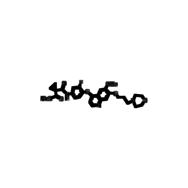 COC(=O)C1(C(=O)Nc2ccc(Oc3ccnc4cc(OCCCN5CCOCC5)c(OC)cc34)c(F)c2)CC1